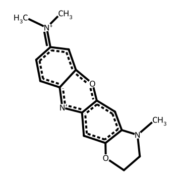 CN1CCOc2cc3nc4ccc(=[N+](C)C)cc-4oc3cc21